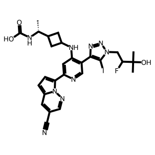 C[C@@H](NC(=O)O)C1CC(Nc2cc(-c3ccc4cc(C#N)cnn34)ncc2-c2nnn(CC(F)C(C)(C)O)c2I)C1